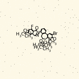 Cn1c2c(cc(Br)c1=O)-c1cccc(-n3ncc4cc(C(C)(C)C)cc(F)c4c3=O)c1C[C@@H](O[Si](C)(C)C(C)(C)C)C2